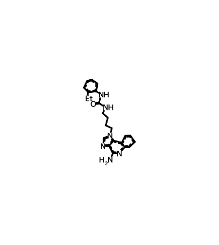 CCc1ccccc1NC(=O)NCCCCn1cnc2c(N)nc3ccccc3c21